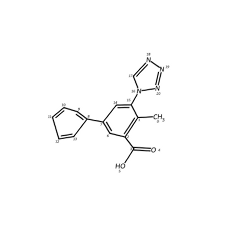 Cc1c(C(=O)O)cc(-c2ccccc2)cc1-n1cnnn1